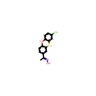 CC(=NO)c1ccc2c(c1)Sc1cc(Cl)ccc1O2